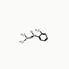 Cc1ccccc1/[N+]([O-])=N/N(C)C